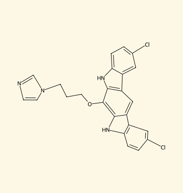 Clc1ccc2[nH]c3c(OCCCn4ccnc4)c4[nH]c5ccc(Cl)cc5c4cc3c2c1